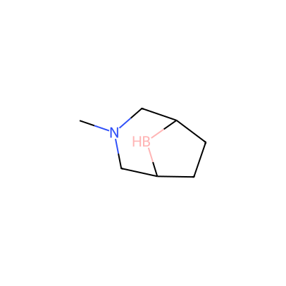 CN1CC2BC(CC2)C1